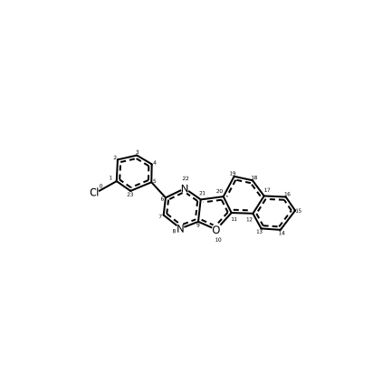 Clc1cccc(-c2cnc3oc4c5ccccc5ccc4c3n2)c1